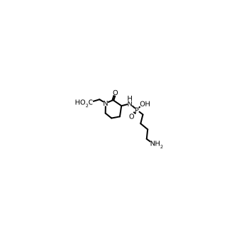 NCCCCP(=O)(O)NC1CCCN(CC(=O)O)C1=O